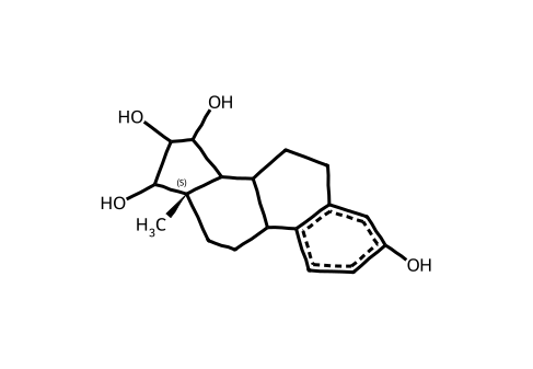 C[C@]12CCC3c4ccc(O)cc4CCC3C1C(O)C(O)C2O